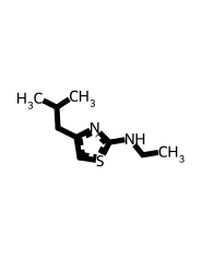 CCNc1nc(CC(C)C)cs1